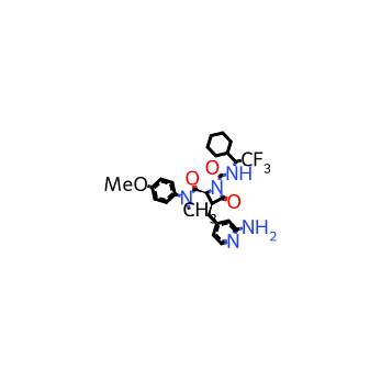 COc1ccc(N(C)C(=O)[C@@H]2[C@H](Cc3ccnc(N)c3)C(=O)N2C(=O)NC(C2CCCCC2)C(F)(F)F)cc1